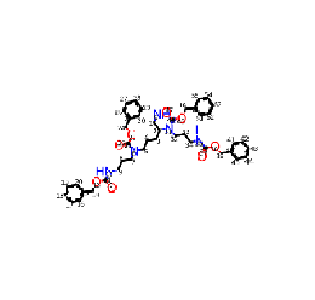 NCC(CCCN(CCCNC(=O)OCc1ccccc1)C(=O)OCc1ccccc1)N(CCCNC(=O)OCc1ccccc1)C(=O)OCc1ccccc1